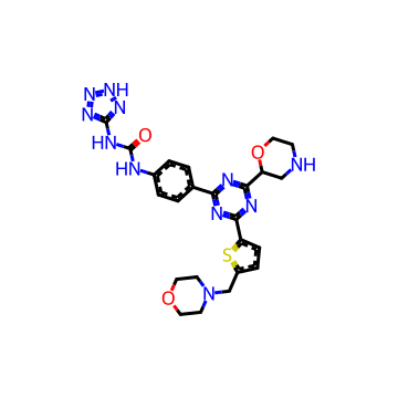 O=C(Nc1ccc(-c2nc(-c3ccc(CN4CCOCC4)s3)nc(C3CNCCO3)n2)cc1)Nc1nn[nH]n1